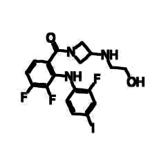 O=C(c1ccc(F)c(F)c1Nc1ccc(I)cc1F)N1CC(NCCO)C1